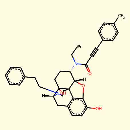 CC(C)CN(C(=O)C#Cc1ccc(C(F)(F)F)cc1)[C@H]1CCC2(O)[C@H]3Cc4ccc(O)c5c4[C@@]2(CCN3CCc2ccccc2)[C@H]1O5